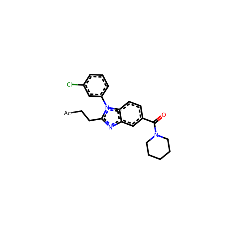 CC(=O)CCc1nc2cc(C(=O)N3CCCCC3)ccc2n1-c1cccc(Cl)c1